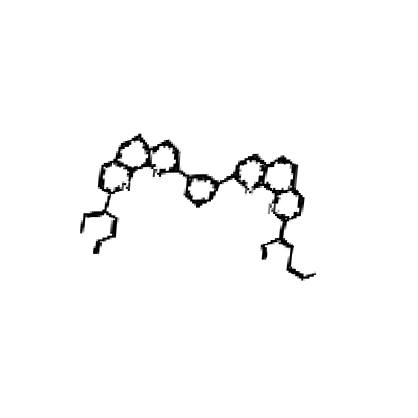 C=C/C=C\C(=C/C)c1ccc2ccc3ccc(-c4cccc(-c5ccc6ccc7ccc(/C(C=C)=C/C=C\C)nc7c6n5)c4)nc3c2n1